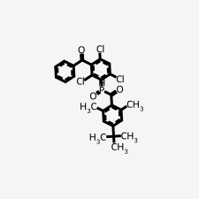 Cc1cc(C(C)(C)C)cc(C)c1C(=O)[PH](=O)c1c(Cl)cc(Cl)c(C(=O)c2ccccc2)c1Cl